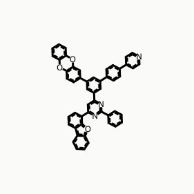 c1ccc(-c2nc(-c3cc(-c4ccc(-c5ccncc5)cc4)cc(-c4ccc5c(c4)Oc4ccccc4O5)c3)cc(-c3cccc4c3oc3ccccc34)n2)cc1